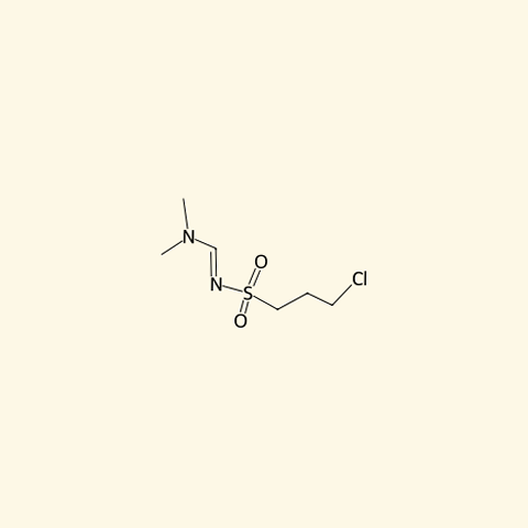 CN(C)C=NS(=O)(=O)CCCCl